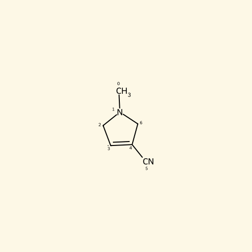 CN1C[C]=C(C#N)C1